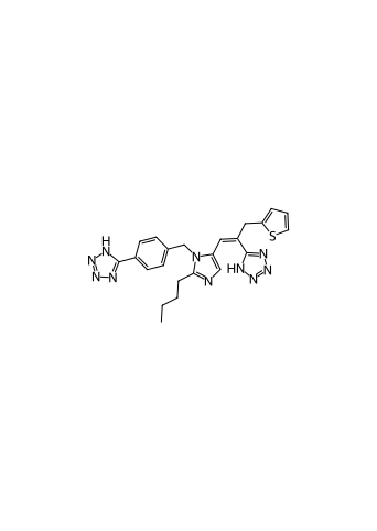 CCCCc1ncc(C=C(Cc2cccs2)c2nnn[nH]2)n1Cc1ccc(-c2nnn[nH]2)cc1